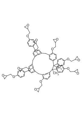 CC1(c2ccc(OCC3CO3)cc2)c2ccc(OCC3CO3)c(c2)Cc2cc(-c3ccc(OCC4CO4)cc3)cc(c2OCC2CO2)Cc2cc(-c3ccc(OCC4CO4)cc3)cc(c2OCC2CO2)Cc2cc(ccc2OCC2CO2)C1(C)c1ccc(OCC2CO2)cc1